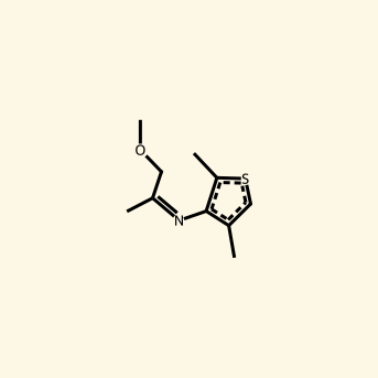 COCC(C)=Nc1c(C)csc1C